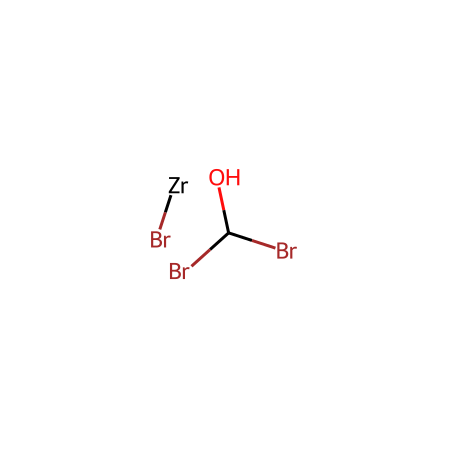 OC(Br)Br.[Br][Zr]